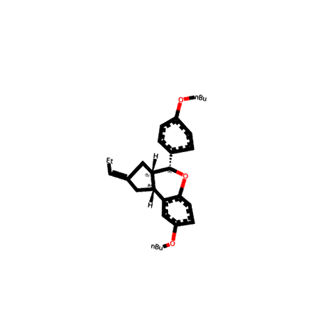 CCC=C1C[C@H]2[C@@H](C1)c1cc(OCCCC)ccc1O[C@H]2c1ccc(OCCCC)cc1